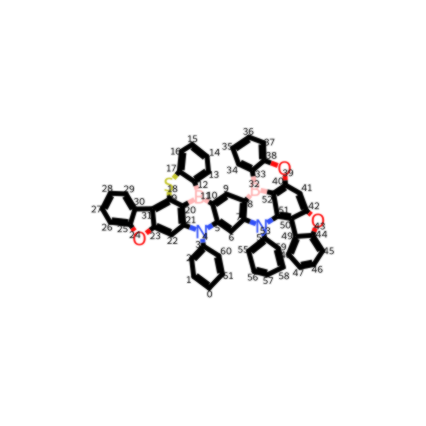 c1ccc(N2c3cc4c(cc3B3c5ccccc5Sc5c3c2cc2oc3ccccc3c52)B2c3ccccc3Oc3cc5oc6ccccc6c5c(c32)N4c2ccccc2)cc1